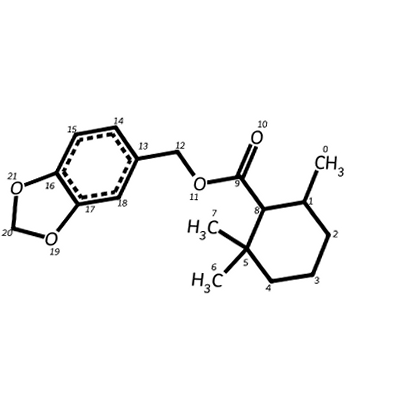 CC1CCCC(C)(C)C1C(=O)OCc1ccc2c(c1)OCO2